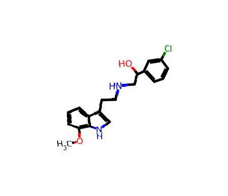 COc1cccc2c(CCNCC(O)c3cccc(Cl)c3)c[nH]c12